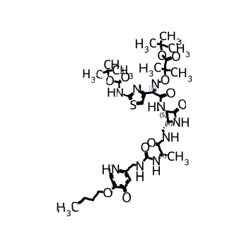 CCCCOc1c[nH]c(CNC(=O)N[C@H](C)C(=O)NC[C@H]2NC(=O)[C@H]2NC(=O)/C(=N\OC(C)(C)C(=O)OC(C)(C)C)c2csc(NC(=O)OC(C)(C)C)n2)cc1=O